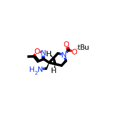 Cc1cc([C@@]2(CN)[C@@H]3CCN(C(=O)OC(C)(C)C)C[C@@H]32)no1